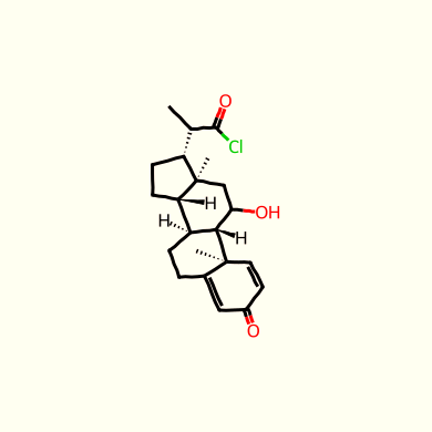 CC(C(=O)Cl)[C@H]1CC[C@H]2[C@@H]3CCC4=CC(=O)C=C[C@]4(C)[C@H]3C(O)C[C@]12C